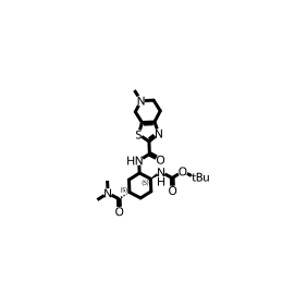 CN1CCc2nc(C(=O)NC3C[C@@H](C(=O)N(C)C)CC[C@@H]3NC(=O)OC(C)(C)C)sc2C1